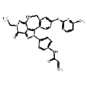 C=CC(=O)Nc1ccc(-n2nc3c(=O)n(CC(F)(F)F)nc4c3c2-c2ccc(Oc3cccc(C)n3)cc2CN4)cc1